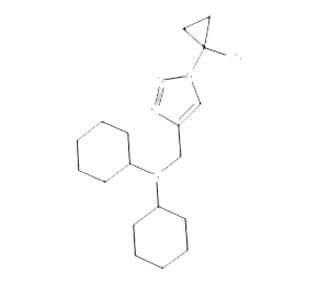 N#CC1(n2cc(CN(C3CCCCC3)C3CCCCC3)nn2)CC1